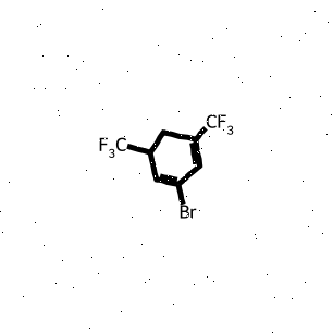 FC(F)(F)C1=CC(Br)=CC(C(F)(F)F)C1